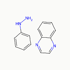 NNc1ccccc1.c1ccc2nccnc2c1